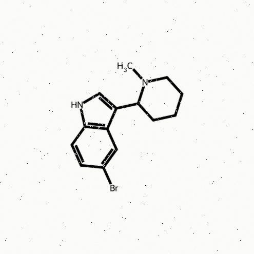 CN1CCCCC1c1c[nH]c2ccc(Br)cc12